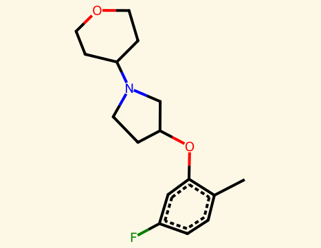 Cc1ccc(F)cc1OC1CCN(C2CCOCC2)C1